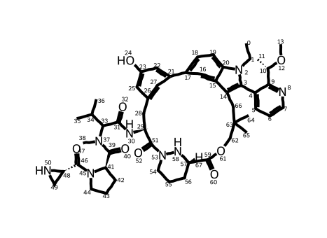 CCn1c(-c2cccnc2[C@H](C)OC)c2c3cc(ccc31)-c1cc(O)cc(c1)C[C@H](NC(=O)C(C(C)C)N(C)C(=O)[C@H]1CCCN1C(=O)[C@@H]1CN1)C(=O)N1CCC[C@H](N1)C(=O)OCC(C)(C)C2